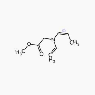 C=CN(/C=C\C)CC(=O)OC